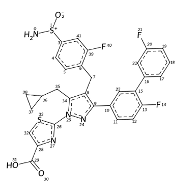 N[S+]([O-])c1ccc(Cc2c(-c3ccc(F)c(-c4cccc(F)c4)c3)nn(-c3nc(C(=O)O)cs3)c2CC2CC2)c(F)c1